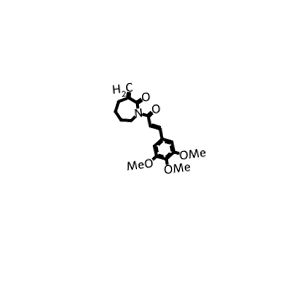 C=C1CCCCN(C(=O)/C=C/c2cc(OC)c(OC)c(OC)c2)C1=O